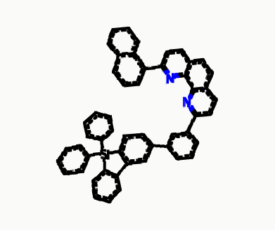 c1ccc([Si]2(c3ccccc3)c3ccccc3-c3cc(-c4cccc(-c5ccc6ccc7ccc(-c8cccc9ccccc89)nc7c6n5)c4)ccc32)cc1